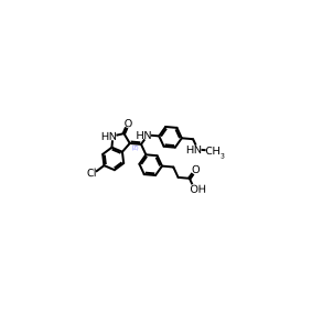 CNCc1ccc(N/C(=C2\C(=O)Nc3cc(Cl)ccc32)c2cccc(CCC(=O)O)c2)cc1